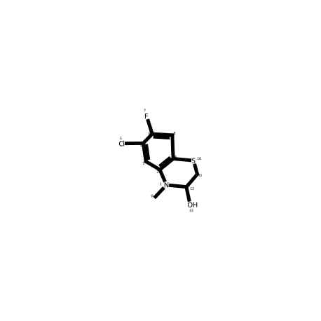 CN1c2cc(Cl)c(F)cc2SCC1O